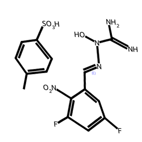 Cc1ccc(S(=O)(=O)O)cc1.N=C(N)N(O)/N=C/c1cc(F)cc(F)c1[N+](=O)[O-]